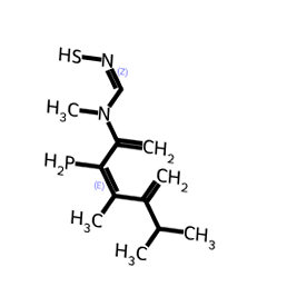 C=C(/C(C)=C(/P)C(=C)N(C)/C=N\S)C(C)C